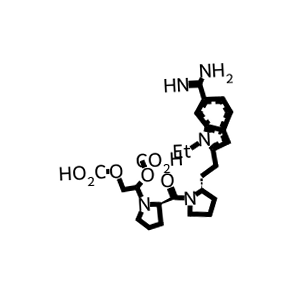 CCn1c(CC[C@@H]2CCCN2C(=O)[C@H]2CCCN2C(COC(=O)O)OC(=O)O)cc2ccc(C(=N)N)cc21